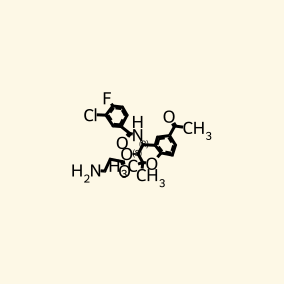 CC(=O)c1ccc2c(c1)[C@@H](NC(=O)c1ccc(F)c(Cl)c1)[C@H](OC(=O)CCN)C(C)(C)O2